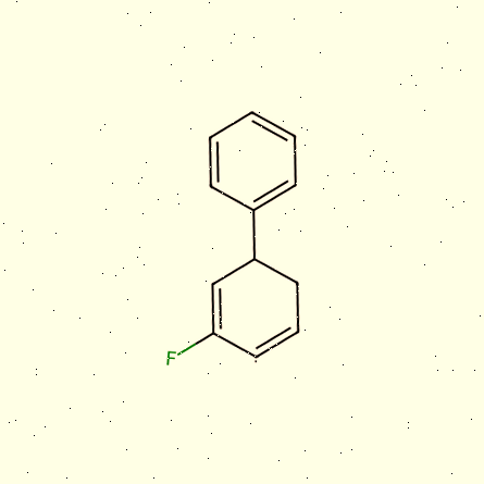 FC1=CC(c2ccccc2)CC=[C]1